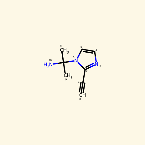 C#Cc1nccn1C(C)(C)N